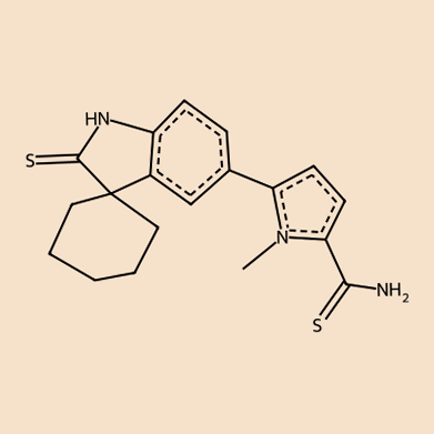 Cn1c(C(N)=S)ccc1-c1ccc2c(c1)C1(CCCCC1)C(=S)N2